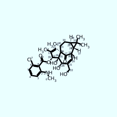 CNc1cccc(Cl)c1C(=O)O[C@H]1C(C)=C[C@]23C(=O)[C@@H](C=C(CO)[C@@H](O)[C@]12O)[C@@H]1[C@@H](C[C@H]3C)C1(C)C